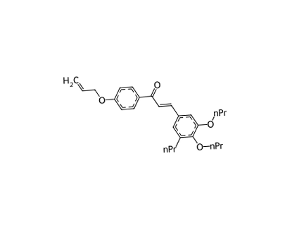 C=CCOc1ccc(C(=O)C=Cc2cc(CCC)c(OCCC)c(OCCC)c2)cc1